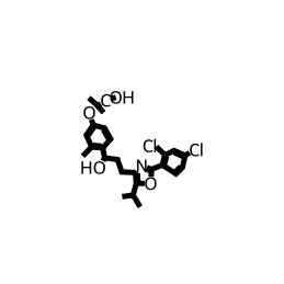 Cc1cc(OC(C)(C)CO)ccc1C(O)CCc1nc(-c2ccc(Cl)cc2Cl)oc1C(C)C